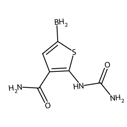 Bc1cc(C(N)=O)c(NC(N)=O)s1